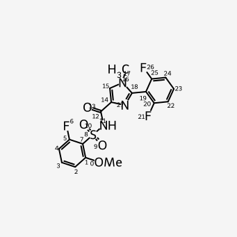 COc1cccc(F)c1S(=O)(=O)NC(=O)c1cn(C)c(-c2c(F)cccc2F)n1